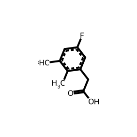 [CH]c1cc(F)cc(CC(=O)O)c1C